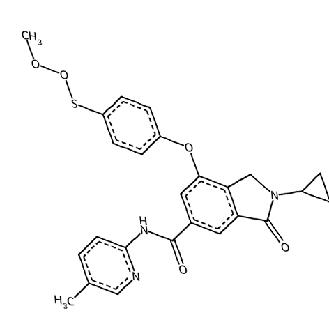 COOSc1ccc(Oc2cc(C(=O)Nc3ccc(C)cn3)cc3c2CN(C2CC2)C3=O)cc1